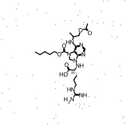 CCCCCOC(=O)N1CN(N[C@H](CCCNC(=N)N)C(=O)O)c2ncnc(NC(C)COC(C)=O)c21